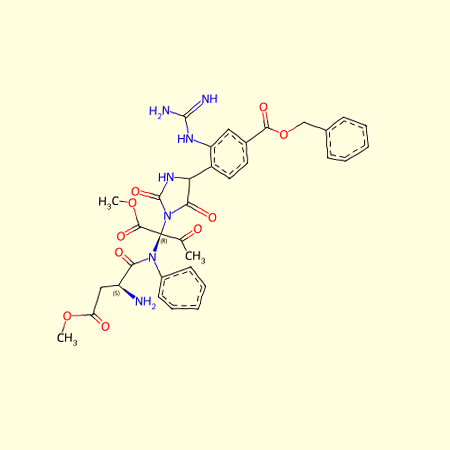 COC(=O)C[C@H](N)C(=O)N(c1ccccc1)[C@@](C(C)=O)(C(=O)OC)N1C(=O)NC(c2ccc(C(=O)OCc3ccccc3)cc2NC(=N)N)C1=O